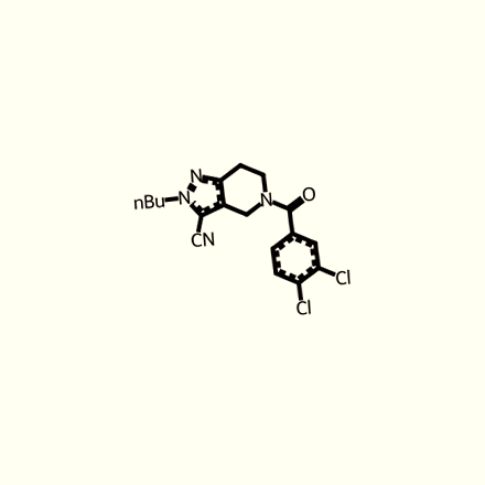 CCCCn1nc2c(c1C#N)CN(C(=O)c1ccc(Cl)c(Cl)c1)CC2